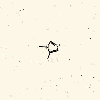 CC1=C[N+]=CN1C